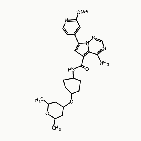 COc1cc(-c2cc(C(=O)NC3CCC(OC4CC(C)OC(C)C4)CC3)c3c(N)ncnn23)ccn1